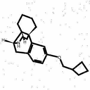 [CH](Oc1ccc2c(c1)[C@@]13CCCC[C@H]1[C@@H](C2)NCC3)C1CCC1